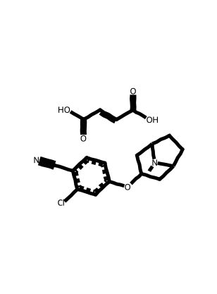 CN1C2CCC1CC(Oc1ccc(C#N)c(Cl)c1)C2.O=C(O)/C=C/C(=O)O